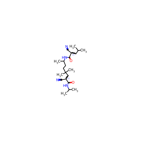 CC(C)/C=C(\C#N)C(=O)NC(C)CCC(C)(C)/C=C(\C#N)C(=O)NC(C)C